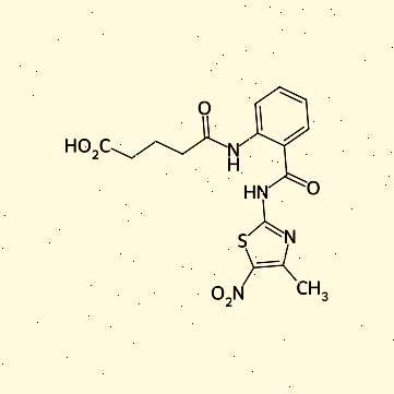 Cc1nc(NC(=O)c2ccccc2NC(=O)CCCC(=O)O)sc1[N+](=O)[O-]